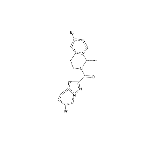 CC1c2ccc(Br)cc2CCN1C(=O)c1cc2ccc(Br)cn2n1